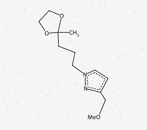 COCc1ccn(CCCC2(C)OCCO2)n1